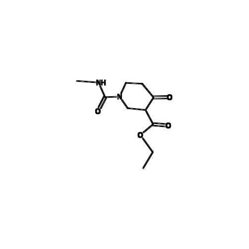 CCOC(=O)C1CN(C(=O)NC)CCC1=O